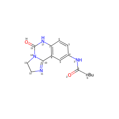 CCCCC(=O)Nc1ccc2c(c1)C1=NCCN1C(=O)N2